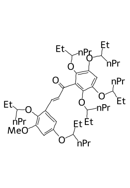 CCCC(CC)Oc1cc(C=CC(=O)c2c(OC(CC)CCC)c(OC(CC)CCC)cc(OC(CC)CCC)c2OC(CC)CCC)c(OC(CC)CCC)c(OC)c1